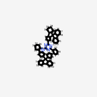 c1ccc(-c2nc(-c3ccc4c(c3)C3(c5ccccc5-c5ccccc53)c3ccccc3-4)nc(-n3c4ccccc4c4ccc(C5(c6ccccc6)c6ccccc6-c6ccccc65)cc43)n2)cc1